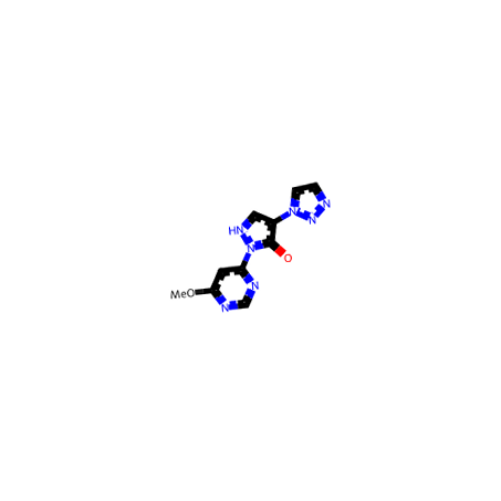 COc1cc(-n2[nH]cc(-n3ccnn3)c2=O)ncn1